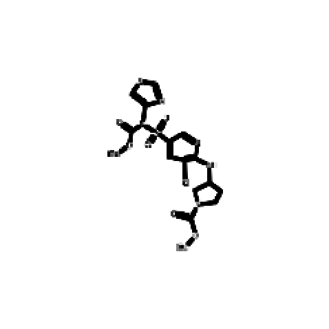 CC(C)(C)OC(=O)N1CCC(Nc2ncc(S(=O)(=O)N(C(=O)OC(C)(C)C)c3cscn3)cc2Cl)C1